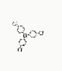 Clc1cc[c]([Bi]([c]2ccc(Cl)cc2)[c]2ccc(Cl)cc2)cc1